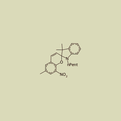 CCCCCN1c2ccccc2C(C)(C)C12C=Cc1cc(C)cc([N+](=O)[O-])c1O2